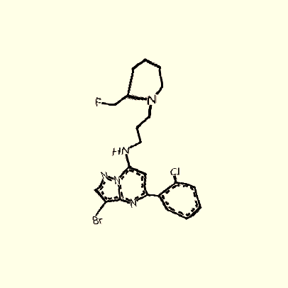 FCC1CCCCN1CCCNc1cc(-c2ccccc2Cl)nc2c(Br)cnn12